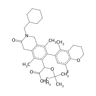 Cc1c(-c2c(C)c3c(c(C)c2C(OC(C)(C)C)C(=O)O)CC(=O)N(CC2CCCCC2)C3)cc(F)c2c1CCCO2